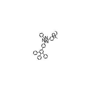 C/C=C\c1oc2cc(-c3nc(-c4ccccc4)nc(-c4ccc(-c5cc(-c6ccccc6)c(-c6ccccc6)c(-c6ccccc6)c5)cc4)n3)ccc2c1C